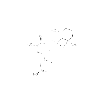 COC(=O)[C@H](COC1C(C)CCCC1(C)C)NC(=O)[C@@H](N)CC(=O)O